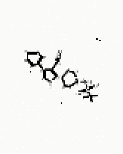 CC(C)(C)S(=O)(=O)N[C@H]1CC[C@H](c2[nH]cc(-c3ccccc3)c2C#N)CC1